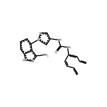 C=C/C=C\C(=C/C=C)NC(=O)Nc1cnn(-c2cccc3[nH]nc(N)c23)c1